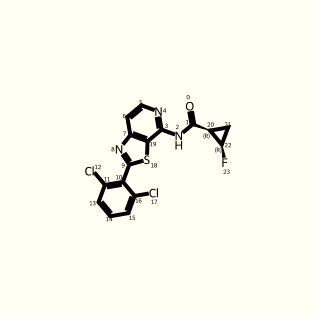 O=C(Nc1nccc2nc(-c3c(Cl)cccc3Cl)sc12)[C@H]1C[C@H]1F